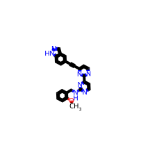 COc1ccccc1CNc1nccc(-c2nccc(C#Cc3ccc4[nH]ncc4c3)n2)n1